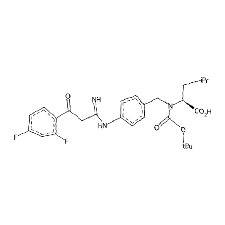 CC(C)C[C@@H](C(=O)O)N(Cc1ccc(NC(=N)CC(=O)c2ccc(F)cc2F)cc1)C(=O)OC(C)(C)C